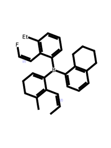 C/C=C\C1=C(C)CCC=C1B(c1cccc(CC)c1/C=C\F)c1cccc2c1CCCC2